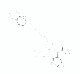 CC1(COc2ncncc2C(C(=O)O)N2CC[C@@H](CCCCCc3ccc4c(n3)NCCC4)C2)COC1